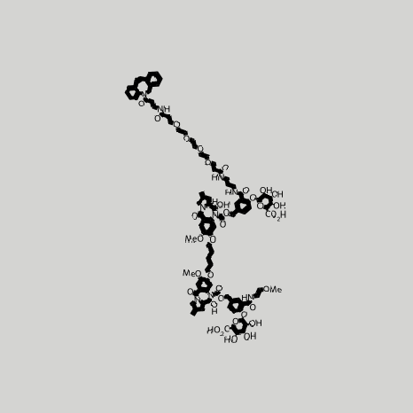 C=C1CC2C(O)N(C(=O)OCc3ccc(O[C@@H]4O[C@H](C(=O)O)[C@@H](O)[C@H](O)[C@H]4O)c(C(=O)NCCOC)c3)c3cc(OCCCCCOc4cc5c(cc4OC)C(=O)N4CC(=C)C[C@H]4C(O)N5C(=O)OCc4ccc(O[C@@H]5O[C@H](C(=O)O)[C@@H](O)[C@H](O)[C@H]5O)c(C(=O)NCCCNC(=O)CCOCCOCCOCCOCCC(=O)NCCC(=O)N5Cc6ccccc6C#Cc6ccccc65)c4)c(OC)cc3C(=O)N2C1